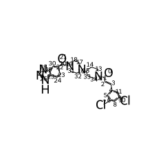 O=C(/C=C/c1cc(Cl)cc(Cl)c1)N1CCC(N2CCN(C(=O)c3ccc4[nH]nnc4c3)CC2)CC1